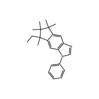 CCC1(C)c2cc3c(cc2C(C)(C)C1(C)C)ncn3-c1ccccc1